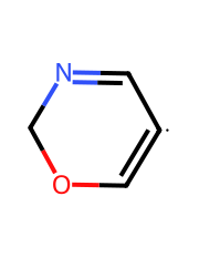 [C]1=COCN=C1